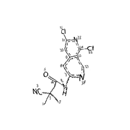 CC(C)(C#N)C(=O)Nc1cc2cc(Cl)nc(Cl)c2cn1